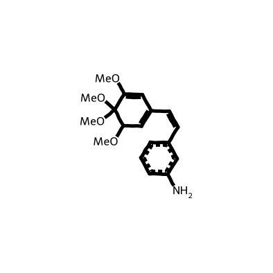 COC1=CC(/C=C\c2cccc(N)c2)=CC(OC)C1(OC)OC